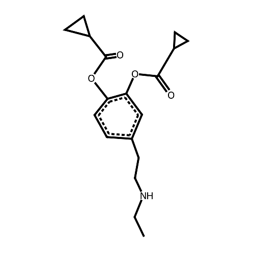 CCNCCc1ccc(OC(=O)C2CC2)c(OC(=O)C2CC2)c1